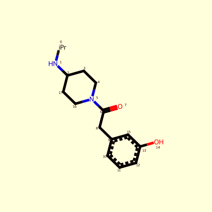 CC(C)NC1CCN(C(=O)Cc2cccc(O)c2)CC1